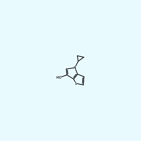 Oc1cn(C2CC2)c2ccsc12